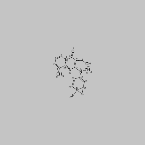 Cc1cccn2c(=O)c(CO)c(N(C)C3=CC4CC4(F)C=C3)nc12